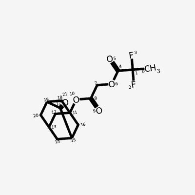 CC(F)(F)C(=O)OCC(=O)OC12CC3CC(C1)C(=O)C(C3)C2